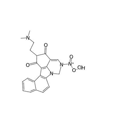 CN(C)CCC1C(=O)C2=CN([N+](=O)[O-])Cn3c2c(c2c4ccccc4ccc23)C1=O.Cl